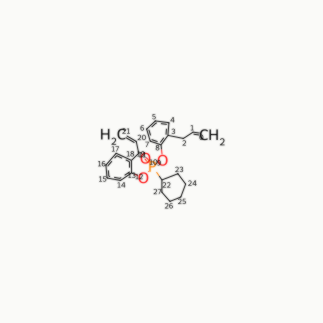 C=CCc1ccccc1OP(=O)(Oc1ccccc1CC=C)C1CCCCC1